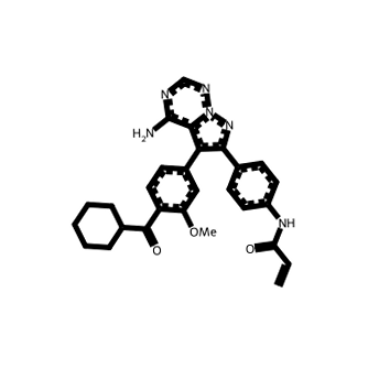 C=CC(=O)Nc1ccc(-c2nn3ncnc(N)c3c2-c2ccc(C(=O)C3CCCCC3)c(OC)c2)cc1